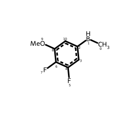 CBc1cc(F)c(F)c(OC)c1